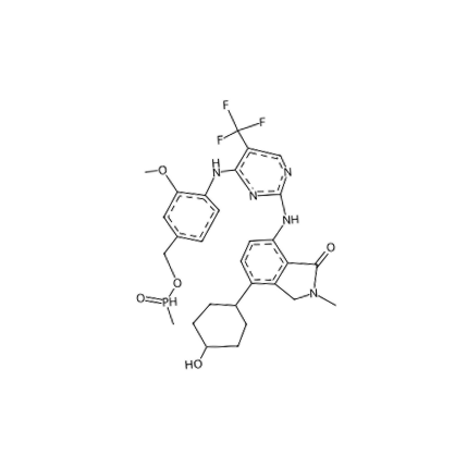 COc1cc(CO[PH](C)=O)ccc1Nc1nc(Nc2ccc(C3CCC(O)CC3)c3c2C(=O)N(C)C3)ncc1C(F)(F)F